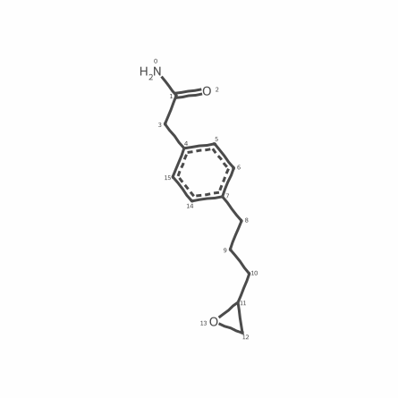 NC(=O)Cc1ccc(CCCC2CO2)cc1